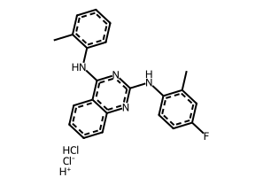 Cc1cc(F)ccc1Nc1nc(Nc2ccccc2C)c2ccccc2n1.Cl.[Cl-].[H+]